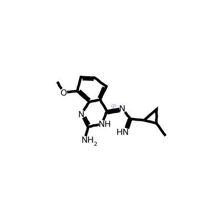 COc1cccc2/c(=N/C(=N)C3CC3C)[nH]c(N)nc12